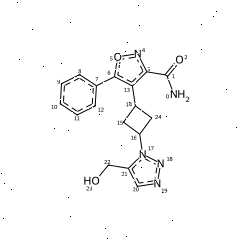 NC(=O)c1noc(-c2ccccc2)c1C1CC(n2nncc2CO)C1